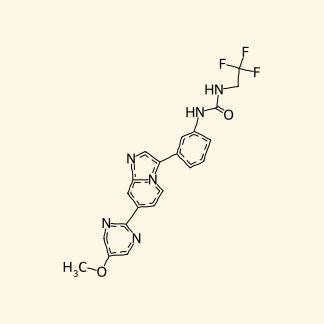 COc1cnc(-c2ccn3c(-c4cccc(NC(=O)NCC(F)(F)F)c4)cnc3c2)nc1